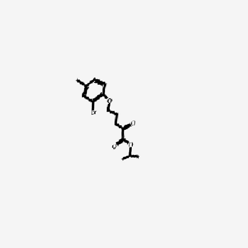 Cc1ccc(OCCCC(=O)C(=O)OC(C)C)c(Br)c1